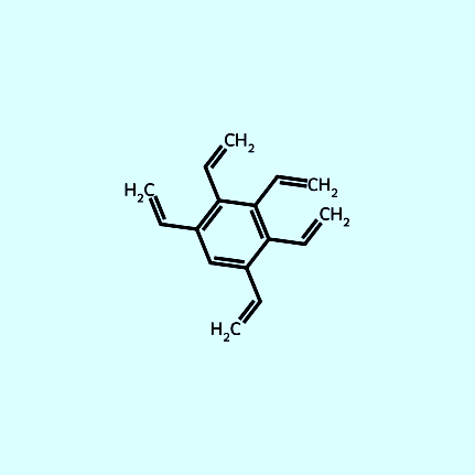 C=Cc1cc(C=C)c(C=C)c(C=C)c1C=C